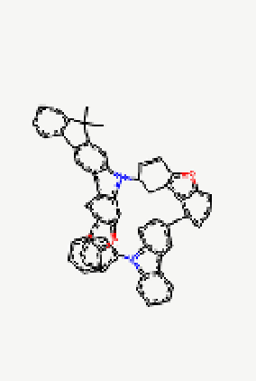 CC1(C)c2ccccc2-c2cc3c4cc5c(cc4n(C4C=Cc6oc7cccc(-c8ccc9c(c8)c8ccccc8n9-c8ccccc8)c7c6C4)c3cc21)oc1ccccc15